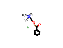 C[N+](C)(C)CCOSC(=O)c1ccccc1.[Br-]